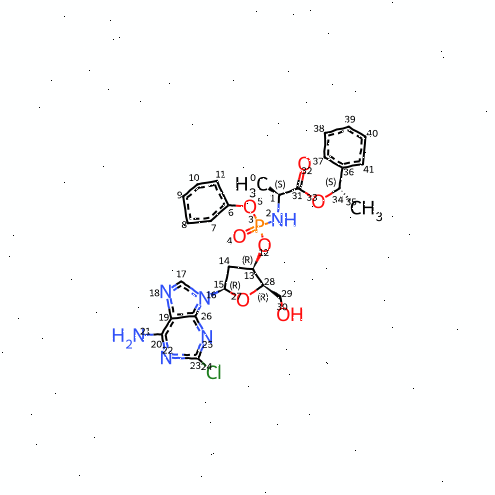 C[C@H](NP(=O)(Oc1ccccc1)O[C@@H]1C[C@H](n2cnc3c(N)nc(Cl)nc32)O[C@@H]1CO)C(=O)O[C@@H](C)c1ccccc1